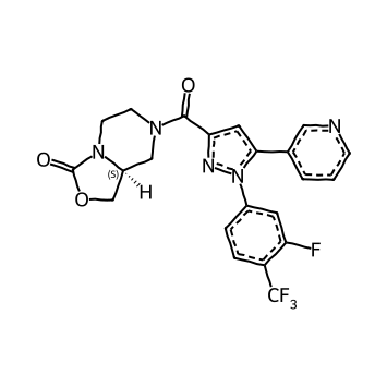 O=C(c1cc(-c2cccnc2)n(-c2ccc(C(F)(F)F)c(F)c2)n1)N1CCN2C(=O)OC[C@@H]2C1